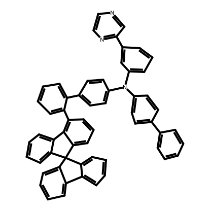 c1ccc(-c2ccc(N(c3ccc(-c4ccccc4-c4cccc5c4-c4ccccc4C54c5ccccc5-c5ccccc54)cc3)c3cccc(-c4cnccn4)c3)cc2)cc1